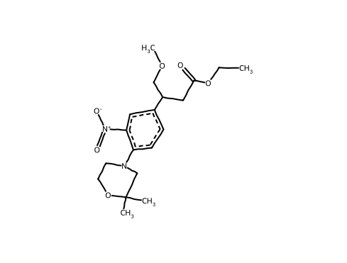 CCOC(=O)CC(COC)c1ccc(N2CCOC(C)(C)C2)c([N+](=O)[O-])c1